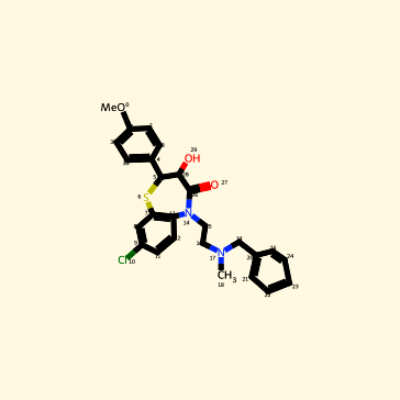 COc1ccc(C2Sc3cc(Cl)ccc3N(CCN(C)Cc3ccccc3)C(=O)C2O)cc1